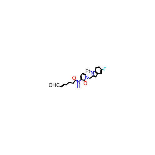 CCn1c(Cn2cccc(NC(=O)CCC/C=C/C=O)c2=O)cc2cc(F)ccc21